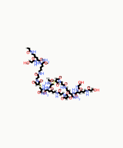 CCC(=O)NCCCCC(NC(=O)CCO)C(=O)NC(CCCCNC(=O)CCN1C(=O)CC(SCC(NC(=O)C(CCCCNC(=O)CCN2C(=O)C=CC2=O)NC(=O)C(CSC2CC(=O)N(CCC(=O)NCCCCC(NC(=O)C(CCCCNC(=O)CCO)NC(=O)CCO)C(N)=O)C2=O)NC(C)=O)C(N)=O)C1=O)C(N)=O